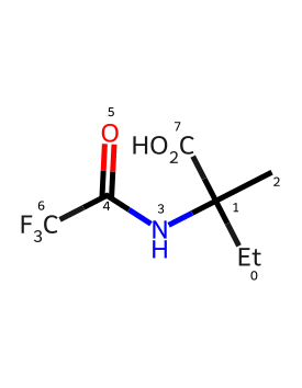 CCC(C)(NC(=O)C(F)(F)F)C(=O)O